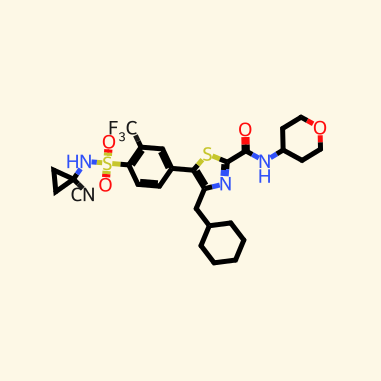 N#CC1(NS(=O)(=O)c2ccc(-c3sc(C(=O)NC4CCOCC4)nc3CC3CCCCC3)cc2C(F)(F)F)CC1